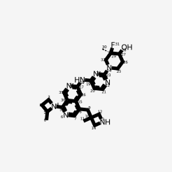 CC1CCN1c1ncc(CC2(C)CNC2)c2cc(Nc3ccnc(N4CCC(O)[C@](C)(F)C4)n3)ncc12